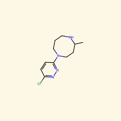 CC1CCN(c2ccc(Cl)nn2)CCCN1